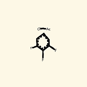 CC(=O)Cl.Fc1cccc(F)c1F